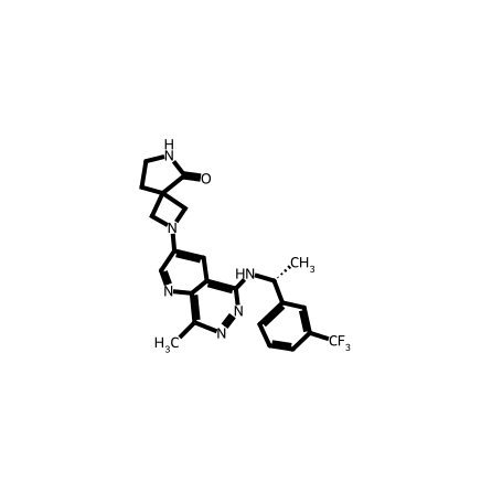 Cc1nnc(N[C@H](C)c2cccc(C(F)(F)F)c2)c2cc(N3CC4(CCNC4=O)C3)cnc12